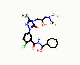 Cc1nn(-c2ccc(Cl)c(C(=O)NC(O)C3CCCCCC3)c2)c(=O)n1CC(O)CN(C)C